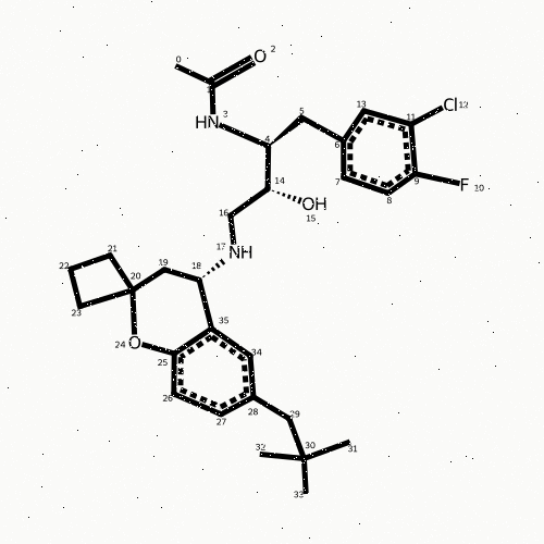 CC(=O)N[C@@H](Cc1ccc(F)c(Cl)c1)[C@H](O)CN[C@H]1CC2(CCC2)Oc2ccc(CC(C)(C)C)cc21